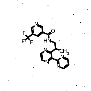 CC(CNC(=O)c1cncc(C(F)(F)F)c1)c1nccnc1-c1ncccn1